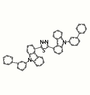 c1ccc(-c2cccc(-n3c4ccccc4c4c(-c5nnc(-c6cccc7c6c6ccccc6n7-c6cccc(-c7ccccc7)c6)s5)cccc43)c2)cc1